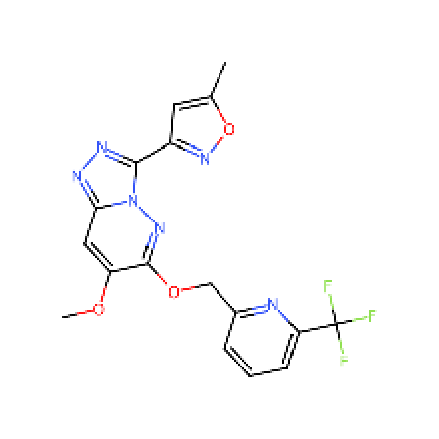 COc1cc2nnc(-c3cc(C)on3)n2nc1OCc1cccc(C(F)(F)F)n1